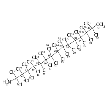 NC(Cl)(Cl)C(Cl)(Cl)C(Cl)(Cl)C(Cl)(Cl)C(Cl)(Cl)C(Cl)(Cl)C(Cl)(Cl)C(Cl)(Cl)C(Cl)(Cl)C(Cl)(Cl)C(Cl)(Cl)C(Cl)(Cl)C(Cl)(Cl)C(Cl)(Cl)C(Cl)(Cl)Cl